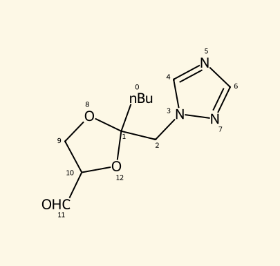 CCCCC1(Cn2cncn2)OCC(C=O)O1